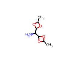 CC1OC(C(N)C2OC(C)O2)O1